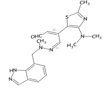 Cc1nc(N(C)C)c(C(/C=N\N(C)Cc2cccc3cn[nH]c23)=C/C=O)s1